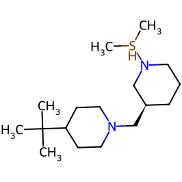 C[SH](C)N1CCC[C@@H](CN2CCC(C(C)(C)C)CC2)C1